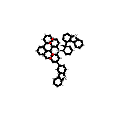 CC1(c2cccc3oc4ccccc4c23)C=CC=CC1N(c1cccc(-c2ccc3oc4ccccc4c3c2)c1)c1ccccc1-c1cccc2cccc(-c3ccccc3)c12